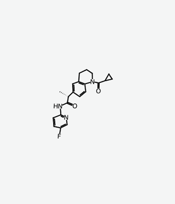 C[C@@H](C(=O)Nc1ccc(F)cn1)c1ccc2c(c1)CCCN2C(=O)C1CC1